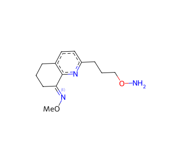 CO/N=C1\CCCc2ccc(CCCON)nc21